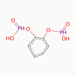 O=[PH](O)Oc1ccccc1O[PH](=O)O